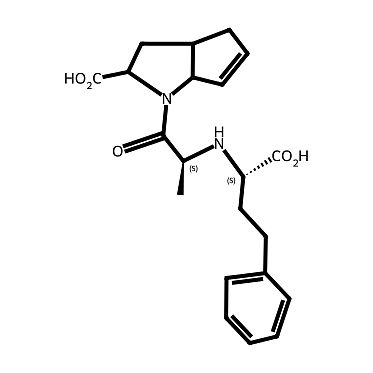 C[C@H](N[C@@H](CCc1ccccc1)C(=O)O)C(=O)N1C(C(=O)O)CC2CC=CC21